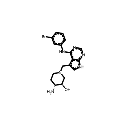 N[C@@H]1CCN(Cc2c[nH]c3ncnc(Nc4cccc(Br)c4)c23)C[C@H]1O